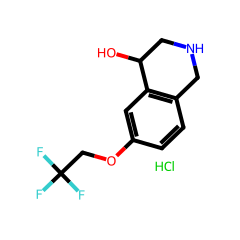 Cl.OC1CNCc2ccc(OCC(F)(F)F)cc21